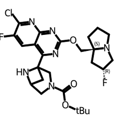 CC(C)(C)OC(=O)N1CC2CC(c3nc(OC[C@@]45CCCN4C[C@H](F)C5)nc4nc(Cl)c(F)cc34)(C1)N2